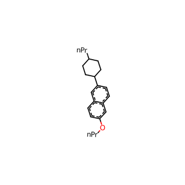 CCCOc1ccc2cc(C3CCC(CCC)CC3)ccc2c1